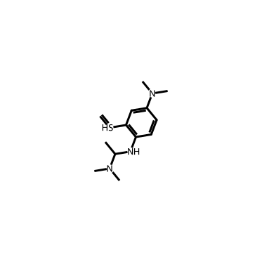 C=[SH]c1cc(N(C)C)ccc1NC(C)N(C)C